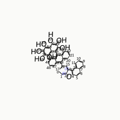 C/C=c1/oc2ccc3ccccc3c2/c1=C/C(C)c1c2ccccc2c(-c2c(O)c(O)c(O)c3c(O)c(O)c(O)c(O)c23)c2ccccc12